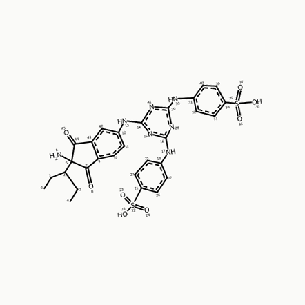 CCC(CC)C1(N)C(=O)c2ccc(Nc3nc(Nc4ccc(S(=O)(=O)O)cc4)nc(Nc4ccc(S(=O)(=O)O)cc4)n3)cc2C1=O